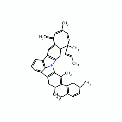 C=C1/C=C(C)\C=C/C(C)(C=CC)C2Cc3c(c4cccc5c6c(n3c45)C(C)=C(C3=C(C)C=CC(C)C3)C(C)C6)C=C12